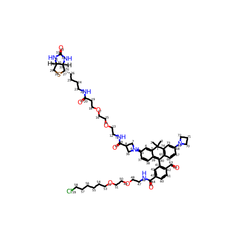 CC1(C)C2=CC(=[N+]3CC(C(=O)NCCOCCOCCC(=O)NCCCC[C@@H]4SC[C@@H]5NC(=O)N[C@@H]54)C3)C=CC2=C(c2cc(C(=O)NCCOCCOCCCCCCCl)ccc2C=O)c2ccc(N3CCC3)cc21